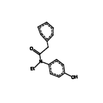 CCN(C(=O)Cc1ccccc1)c1ccc(O)cc1